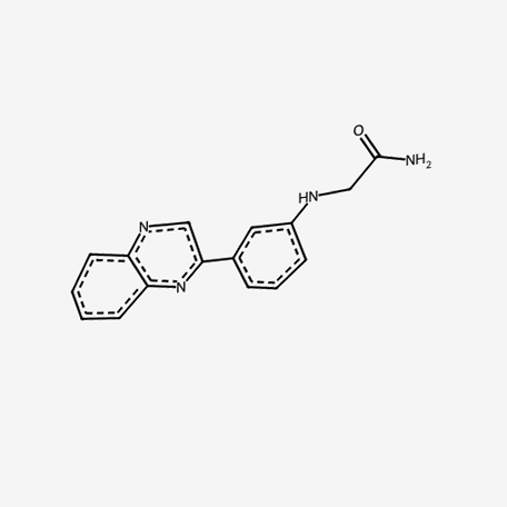 NC(=O)CNc1cccc(-c2cnc3ccccc3n2)c1